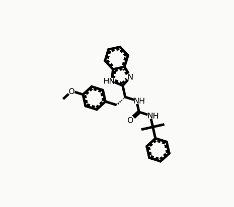 COc1ccc(C[C@@H](NC(=O)NC(C)(C)c2ccccc2)c2nc3ccccc3[nH]2)cc1